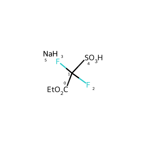 CCOC(=O)C(F)(F)S(=O)(=O)O.[NaH]